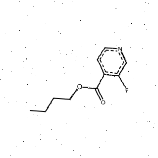 CCCCOC(=O)c1ccncc1F